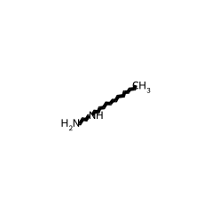 CCCCCCCCCCCCCCCNCCCCN